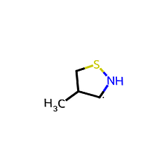 CC1[CH]NSC1